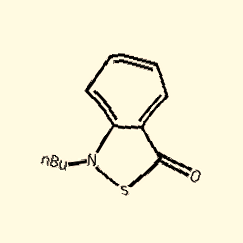 CCCCn1sc(=O)c2ccccc21